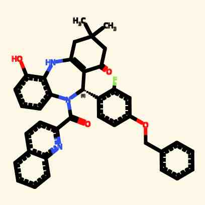 CC1(C)CC(=O)C2=C(C1)Nc1c(O)cccc1N(C(=O)c1ccc3ccccc3n1)[C@H]2c1ccc(OCc2ccccc2)cc1F